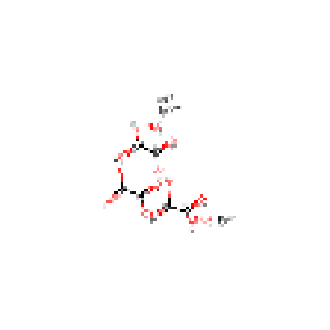 O.O.O=C([O-])C(=O)[O-].O=C([O-])C(=O)[O-].O=C([O-])C(=O)[O-].[Fe+2].[Mn+2].[Ni+2]